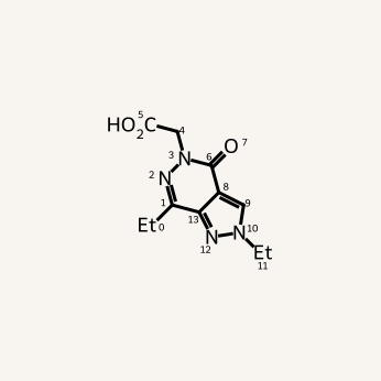 CCc1nn(CC(=O)O)c(=O)c2cn(CC)nc12